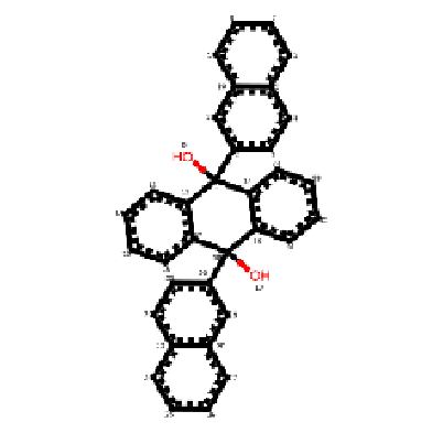 OC1(c2ccc3ccccc3c2)c2ccccc2C(O)(c2ccc3ccccc3c2)c2ccccc21